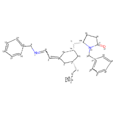 CCOC(=O)C[C@@H]1CC(=CC=NCc2ccccc2)C[C@H](C[C@@H]2CCC(=O)N2Cc2ccccc2)C1